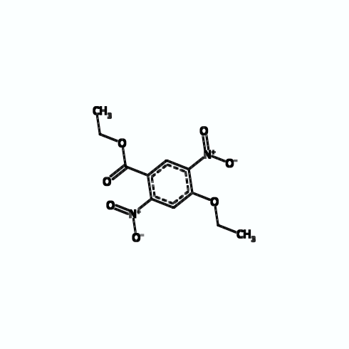 CCOC(=O)c1cc([N+](=O)[O-])c(OCC)cc1[N+](=O)[O-]